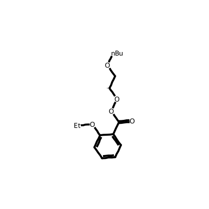 CCCCOC[CH]OOC(=O)c1ccccc1OCC